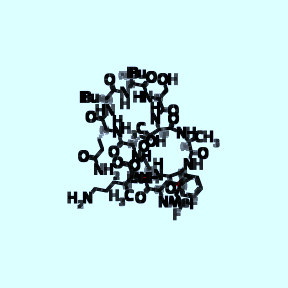 CC[C@H](C)[C@H](NC(=O)[C@H](NC(=O)[C@@H](CCC(N)=O)NC(=O)[C@H](CO)NC(=O)[C@@H](NC(=O)[C@@H](Cc1ccccc1)NC)[C@@H](C)CCCN)[C@@H](C)CC)C(=O)N[C@@H](CO)C(=O)N[C@H]1C(=O)N[C@@H](C)C(=O)N[C@@]2(C[C@H]2CC(F)F)C(=O)N[C@@H]([C@@H](C)CC)C(=O)O[C@H]1C